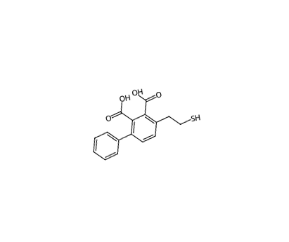 O=C(O)c1c(CCS)ccc(-c2ccccc2)c1C(=O)O